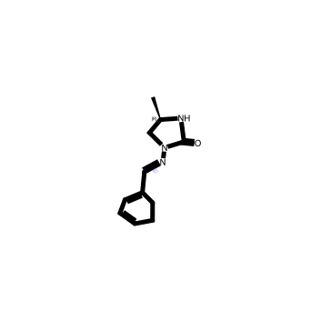 C[C@@H]1CN(/N=C/C2=CC=CCC2)C(=O)N1